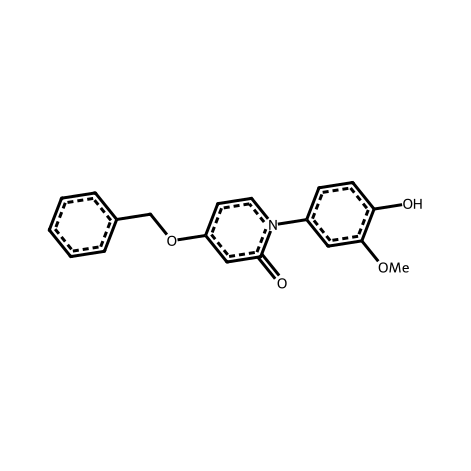 COc1cc(-n2ccc(OCc3ccccc3)cc2=O)ccc1O